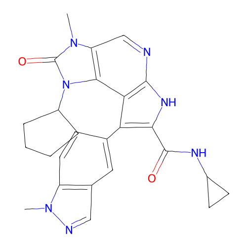 Cn1ncc2cc(-c3c(C(=O)NC4CC4)[nH]c4ncc5c(c34)n(C3CCCC3)c(=O)n5C)ccc21